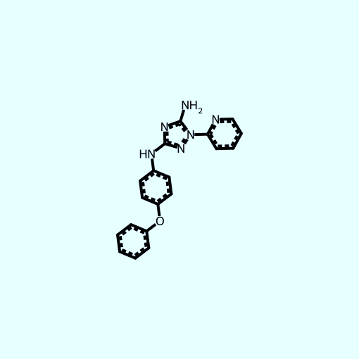 Nc1nc(Nc2ccc(Oc3ccccc3)cc2)nn1-c1ccccn1